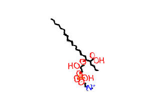 CCCCCCCCCCCCCCCCC(OCC(O)COP(=O)(O)OCC[N+](C)(C)C)C(CCCC)C(=O)O